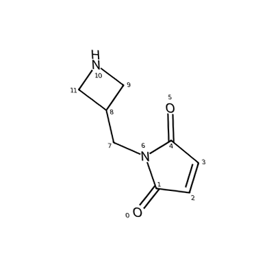 O=C1C=CC(=O)N1CC1CNC1